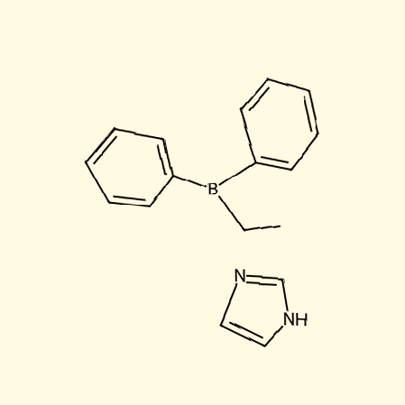 CCB(c1ccccc1)c1ccccc1.c1c[nH]cn1